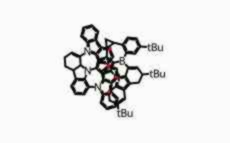 CC(C)(C)C1=Cc2c3c4n(c2CC1)-c1cc(N2c5c(cccc5-n5c6ccccc6c6ccccc65)C5CCC=C(n6c7ccccc7c7ccccc76)C52)cc2c1B(C4=CC(C(C)(C)C)C3)c1cc(C(C)(C)C)ccc1C1CC21